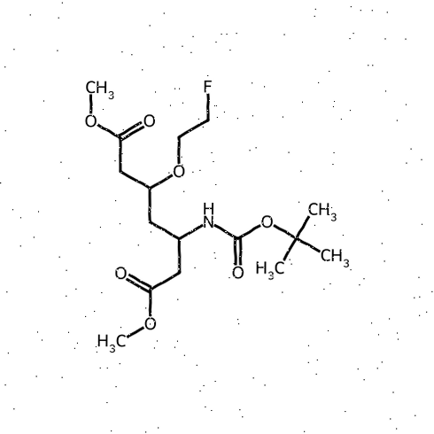 COC(=O)CC(CC(CC(=O)OC)OCCF)NC(=O)OC(C)(C)C